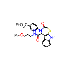 CCOC(=O)c1ccc(N2C(=O)CSc3c(c4ccccc4n3C)C2C(=O)NCCCOC(C)C)cc1